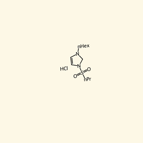 CCCCCCN1C=CN(S(=O)(=O)CCC)C1.Cl